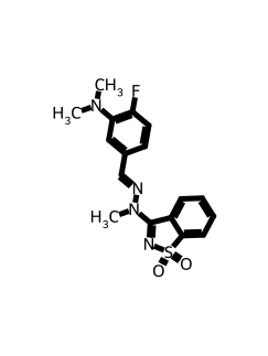 CN(/N=C/c1ccc(F)c(N(C)C)c1)C1=NS(=O)(=O)c2ccccc21